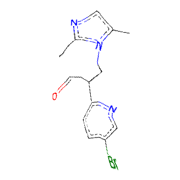 Cc1cnc(C)n1CC(C=O)c1ccc(Br)cn1